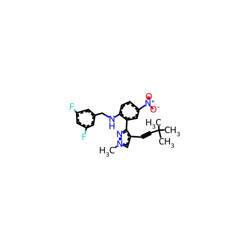 Cn1cc(C#CC(C)(C)C)c(-c2cc([N+](=O)[O-])ccc2NCc2cc(F)cc(F)c2)n1